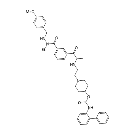 CCN(NCc1ccc(OC)cc1)C(=O)c1cccc(C(=O)C(C)NCCN2CCC(OC(=O)Nc3ccccc3-c3ccccc3)CC2)c1